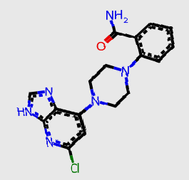 NC(=O)c1ccccc1N1CCN(c2cc(Cl)nc3[nH]cnc23)CC1